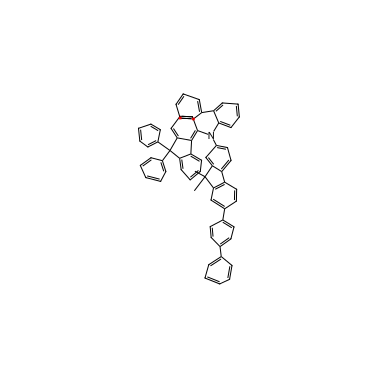 CC1(C)c2cc(-c3ccc(-c4ccccc4)cc3)ccc2-c2ccc(N(c3ccccc3-c3ccccc3)c3cccc4c3-c3ccccc3C4(c3ccccc3)c3ccccc3)cc21